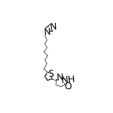 O=C1CCC(c2ccc(CCCCCCCCCn3ccnc3)s2)=NN1